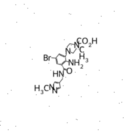 C[C@@H]1CN(c2cc(Br)cc(C(=O)NCc3cnn(C)c3)c2N)CCN1C(=O)O